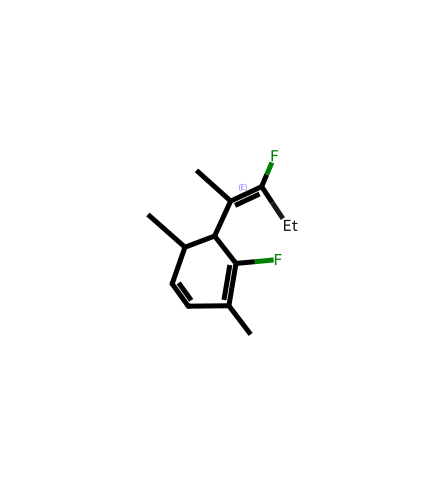 CC/C(F)=C(/C)C1C(F)=C(C)C=CC1C